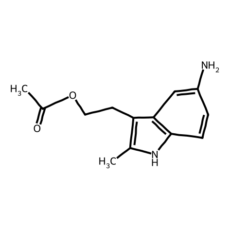 CC(=O)OCCc1c(C)[nH]c2ccc(N)cc12